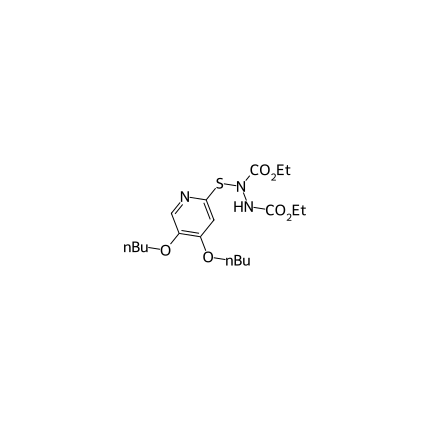 CCCCOc1cnc(SN(NC(=O)OCC)C(=O)OCC)cc1OCCCC